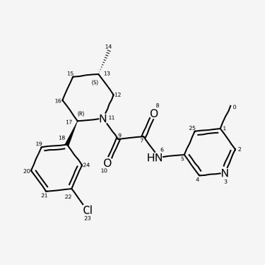 Cc1cncc(NC(=O)C(=O)N2C[C@@H](C)CC[C@@H]2c2cccc(Cl)c2)c1